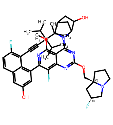 COc1nc(-c2cc(O)cc3ccc(F)c(C#C[Si](C(C)C)(C(C)C)C(C)C)c23)c(F)c2nc(OC[C@@]34CCCN3C[C@H](F)C4)nc(N3CC4CC(O)C3C4)c12